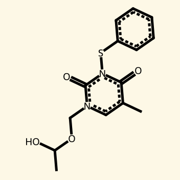 Cc1cn(COC(C)O)c(=O)n(Sc2ccccc2)c1=O